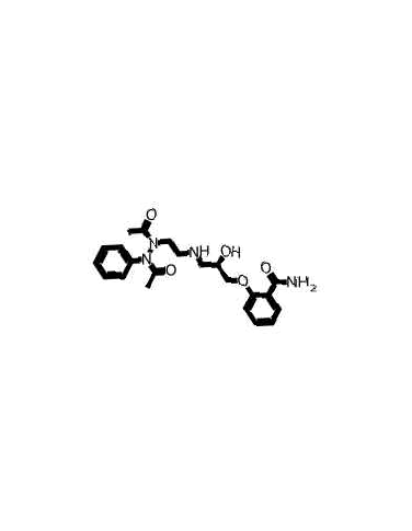 CC(=O)N(CCNCC(O)COc1ccccc1C(N)=O)N(C(C)=O)c1ccccc1